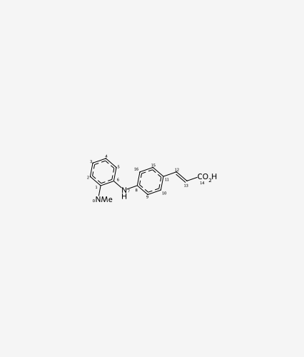 CNc1ccccc1Nc1ccc(/C=C/C(=O)O)cc1